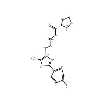 Cc1oc(-c2ccc(F)cc2)nc1CCNCC(=O)[C@@H]1CCCN1